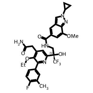 CCOc1c(CC(N)=O)cc([C@@](O)(CNC(=O)c2cc(OC)c3nn(C4CC4)cc3c2)C(F)(F)F)nc1-c1ccc(F)c(C)c1